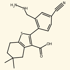 CC1(C)CCc2sc(-c3ccc(C#N)cc3CNN)c(C(=O)O)c2C1